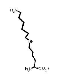 NCCCCCCNCCCC[C@H](N)C(=O)O